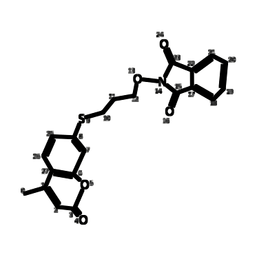 Cc1cc(=O)oc2cc(SCCCON3C(=O)c4ccccc4C3=O)ccc12